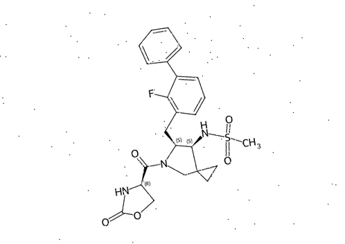 CS(=O)(=O)N[C@@H]1[C@H](Cc2cccc(-c3ccccc3)c2F)N(C(=O)[C@H]2COC(=O)N2)CC12CC2